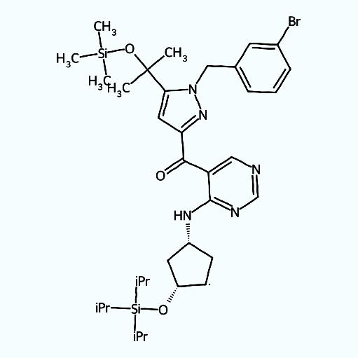 CC(C)[Si](O[C@H]1[CH]C[C@@H](Nc2ncncc2C(=O)c2cc(C(C)(C)O[Si](C)(C)C)n(Cc3cccc(Br)c3)n2)C1)(C(C)C)C(C)C